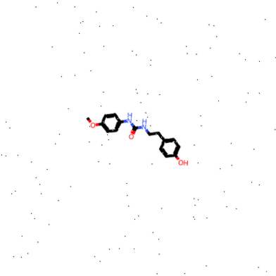 COc1ccc(NC(=O)NCCc2ccc(O)cc2)cc1